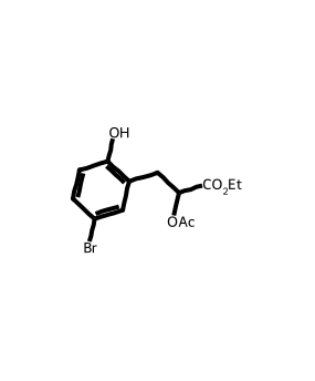 CCOC(=O)C(Cc1cc(Br)ccc1O)OC(C)=O